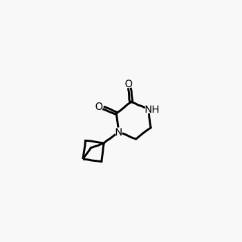 O=C1NCCN(C23CC(C2)C3)C1=O